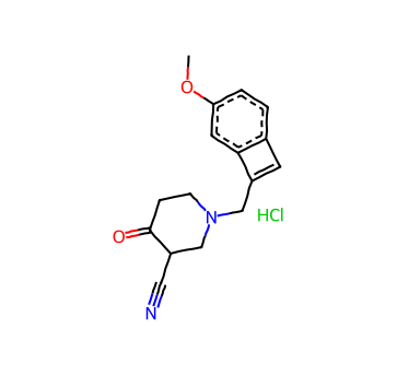 COc1ccc2c(c1)C(CN1CCC(=O)C(C#N)C1)=C2.Cl